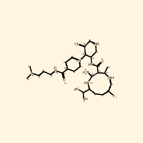 CCCC(CCC)C1CCC(F)CNC(C)C(C(=O)NC2CNCC(F)C2N2CCC(C(=O)NCCCN(C)C)CC2)C(N)N1